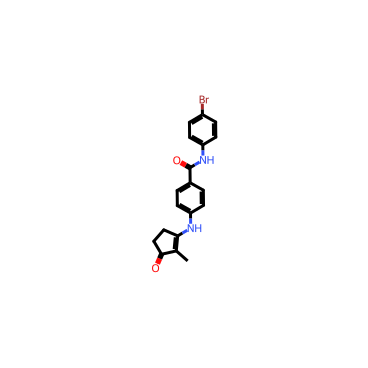 CC1=C(Nc2ccc(C(=O)Nc3ccc(Br)cc3)cc2)CCC1=O